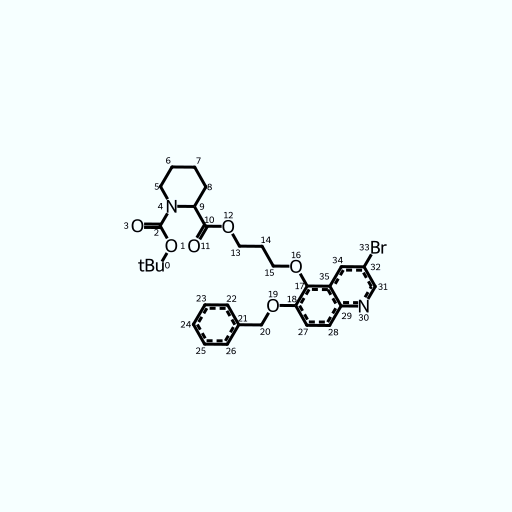 CC(C)(C)OC(=O)N1CCCCC1C(=O)OCCCOc1c(OCc2ccccc2)ccc2ncc(Br)cc12